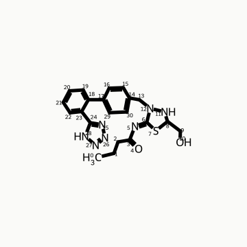 CCCC(=O)N=C1SC(CO)NN1Cc1ccc(-c2ccccc2-c2nnn[nH]2)cc1